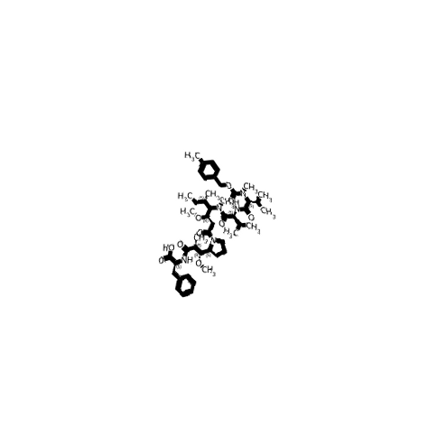 CC[C@H](C)C([C@@H](CC(=O)N1CCC[C@H]1[C@H](OC)[C@@H](C)C(=O)N[C@@H](Cc1ccccc1)C(=O)O)OC)N(C)C(=O)[C@@H](NC(=O)[C@H](C(C)C)N(C)C(=O)OCc1ccc(C)cc1)C(C)C